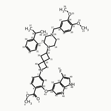 COC(=O)c1ccc(N2CC3(CC(N4CCN(Cc5ccc(OC)c(OC)c5)C[C@H]4c4ccccc4C(C)C)C3)C2)cc1Oc1cnc2[nH]cc(F)c2c1